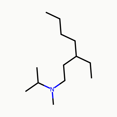 CCCCC(CC)CCN(C)C(C)C